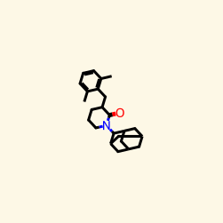 Cc1cccc(C)c1CC1CCCN(C2C3CC4CC(C3)CC2C4)C1=O